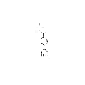 CCn1cc(-c2ccc(C(C)NC(C)(C)C)cc2)cn1